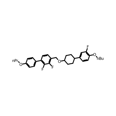 CCCCOc1ccc(C2CCC(OCc3ccc(-c4ccc(OCCC)cc4)c(F)c3F)CC2)cc1F